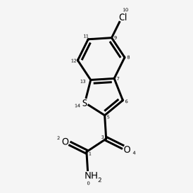 NC(=O)C(=O)c1cc2cc(Cl)ccc2s1